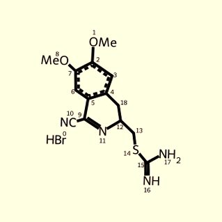 Br.COc1cc2c(cc1OC)C(C#N)=NC(CSC(=N)N)C2